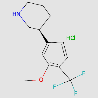 COc1cc([C@@H]2CCCNC2)ccc1C(F)(F)F.Cl